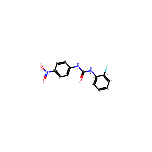 O=C(Nc1ccc([N+](=O)[O-])cc1)Nc1ccccc1F